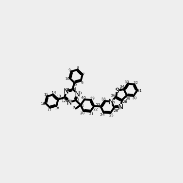 CC1(c2nc(-c3ccccc3)nc(-c3ccccc3)n2)C=CC(c2ccc3nc4c5ccccc5sc4n3c2)=CC1